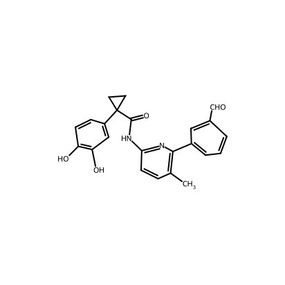 Cc1ccc(NC(=O)C2(c3ccc(O)c(O)c3)CC2)nc1-c1cccc(C=O)c1